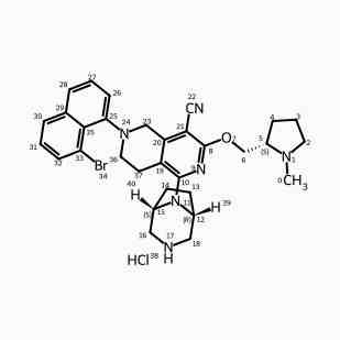 CN1CCC[C@H]1COc1nc(N2[C@@H]3CC[C@H]2CNC3)c2c(c1C#N)CN(c1cccc3cccc(Br)c13)CC2.Cl